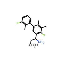 CCOC(=O)CC(N)c1cc(-c2cccc(F)c2C)c(C)c(C)c1F